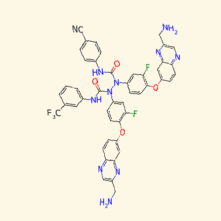 N#Cc1ccc(NC(=O)N(c2ccc(Oc3ccc4ncc(CN)nc4c3)c(F)c2)N(C(=O)Nc2cccc(C(F)(F)F)c2)c2ccc(Oc3ccc4ncc(CN)nc4c3)c(F)c2)cc1